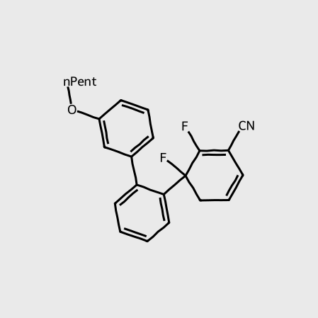 CCCCCOc1cccc(-c2ccccc2C2(F)CC=CC(C#N)=C2F)c1